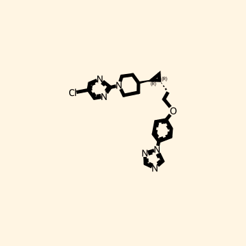 Clc1cnc(N2CCC([C@H]3C[C@@H]3CCOc3ccc(-n4cncn4)cc3)CC2)nc1